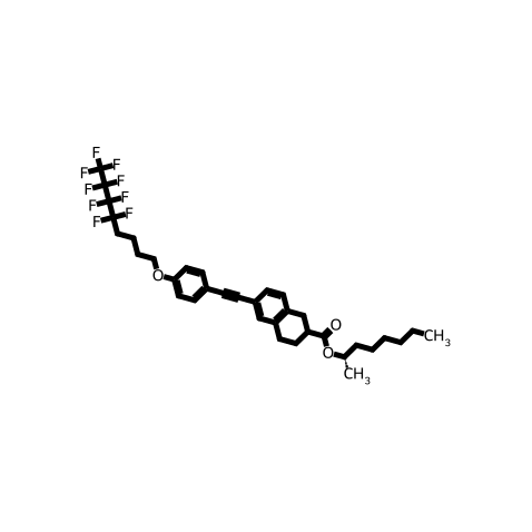 CCCCCC[C@H](C)OC(=O)C1CCc2cc(C#Cc3ccc(OCCCCC(F)(F)C(F)(F)C(F)(F)C(F)(F)F)cc3)ccc2C1